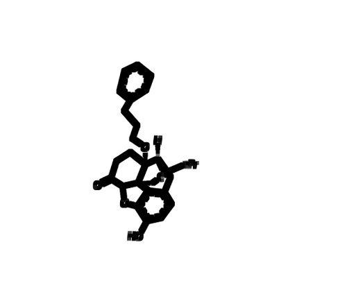 CCCN1CC[C@]23c4c5ccc(O)c4OC2C(=O)CC[C@@]3(OCCCc2ccccc2)[C@H]1C5